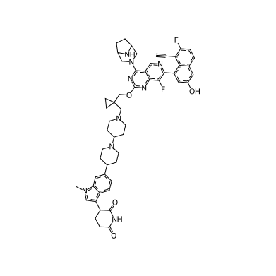 C#Cc1c(F)ccc2cc(O)cc(-c3ncc4c(N5CC6CCC(C5)N6)nc(OCC5(CN6CCC(N7CCC(c8ccc9c(C%10CCC(=O)NC%10=O)cn(C)c9c8)CC7)CC6)CC5)nc4c3F)c12